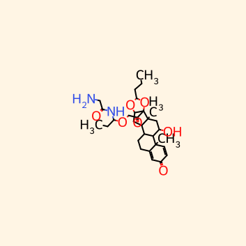 CCCC1OC2CC3C4CCC5=CC(=O)C=CC5(C)C4C(O)CC3(C)C2(C(=O)COC(CC)NC(=O)CN)O1